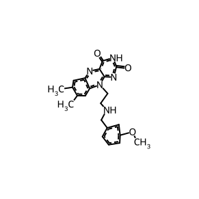 COc1cccc(CNCCn2c3nc(=O)[nH]c(=O)c-3nc3cc(C)c(C)cc32)c1